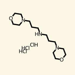 C(CNCCCN1CCOCC1)CN1CCOCC1.Cl.Cl.Cl